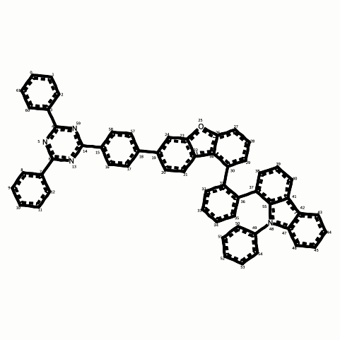 c1ccc(-c2nc(-c3ccccc3)nc(-c3ccc(-c4ccc5c(c4)oc4cccc(-c6ccccc6-c6cccc7c8ccccc8n(-c8ccccc8)c67)c45)cc3)n2)cc1